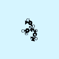 CN(C(=O)c1ccc(Cl)c(C2CC2)c1)[C@@H]1CN(C(=O)C2CCN(C(=O)C3(CI)CC3)CC2)C[C@H]1c1ccc(Cl)c(Cl)c1